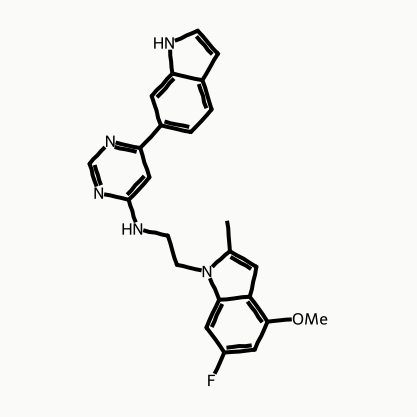 COc1cc(F)cc2c1cc(C)n2CCNc1cc(-c2ccc3cc[nH]c3c2)ncn1